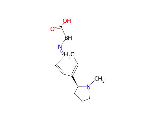 C\C=C(/C=C\C=N\BC(=O)O)[C@@H]1CCCN1C